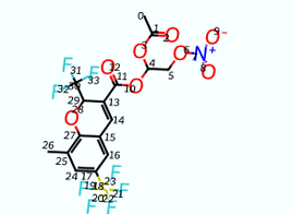 CC(=O)OC(CO[N+](=O)[O-])OC(=O)C1=Cc2cc(S(F)(F)(F)(F)F)cc(C)c2OC1C(F)(F)F